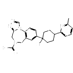 Cc1cccc(C2CCC(Cl)(c3ccc4c(c3)CN(C(=O)O)Cc3nncn3-4)CC2)n1